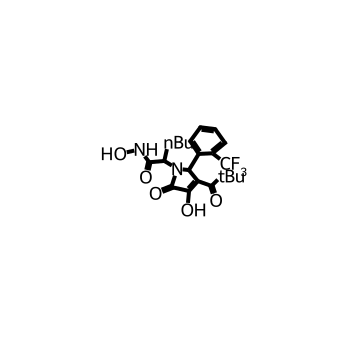 CCCCC(C(=O)NO)N1C(=O)C(O)=C(C(=O)C(C)(C)C)C1c1ccccc1C(F)(F)F